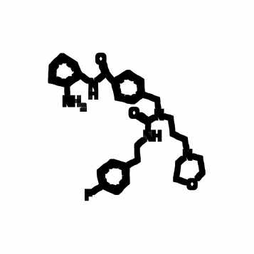 Nc1ccccc1NC(=O)c1ccc(CN(CCCN2CCOCC2)C(=O)NCCc2ccc(F)cc2)cc1